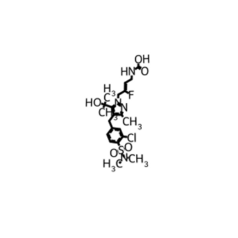 Cc1nn(CC(F)=CCNC(=O)O)c(C(C)(C)O)c1Cc1ccc(S(=O)(=O)N(C)C)c(Cl)c1